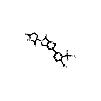 N#Cc1ccc(-c2ccc3c(c2)CN(C2CCC(=O)NC2=O)C3=O)nc1C(N)(F)F